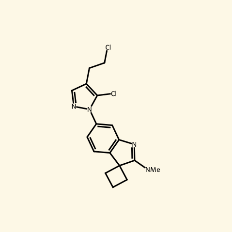 CNC1=Nc2cc(-n3ncc(CCCl)c3Cl)ccc2C12CCC2